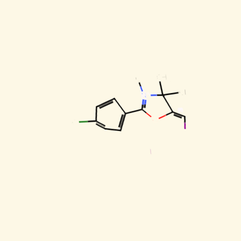 C[N+]1=C(c2ccc(Cl)cc2)O/C(=C\I)C1(C)C.[I-]